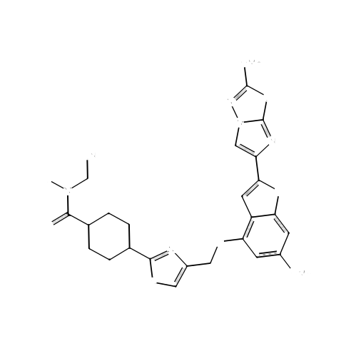 COc1cc(OCc2csc(C3CCC(C(=O)N(C)CC#N)CC3)n2)c2cc(-c3cn4nc(OC)sc4n3)oc2c1